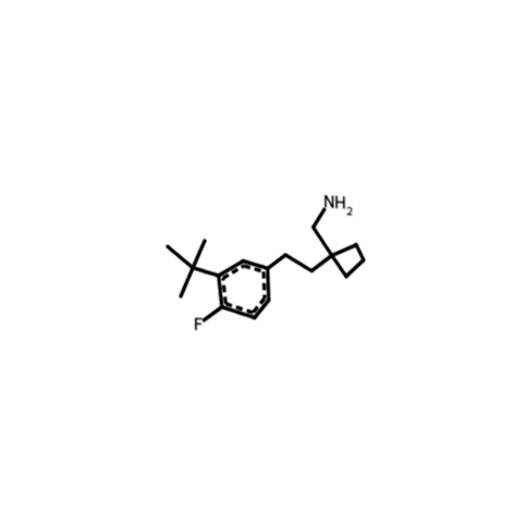 CC(C)(C)c1cc(CCC2(CN)CCC2)ccc1F